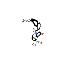 COc1ccc2c(c1)C(C(=O)N(Cc1ccc(N(C)C)cc1)c1ccc(Br)cc1)CCC2